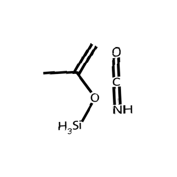 C=C(C)O[SiH3].N=C=O